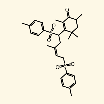 CC(=CCS(=O)(=O)c1ccc(C)cc1)CC(C1=C(C)C(=O)C(C)CC1(C)C)S(=O)(=O)c1ccc(C)cc1